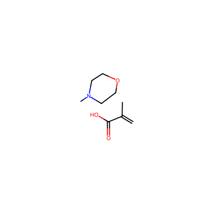 C=C(C)C(=O)O.CN1CCOCC1